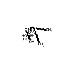 CCCCCCCC[C@H]1OCCC[C@@H]1CCCCCCC.O=C[C@H](O)[C@@H](O)[C@H](O)[C@H](O)CO